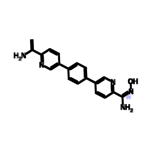 C=C(N)c1ccc(-c2ccc(-c3ccc(/C(N)=N\O)nc3)cc2)cn1